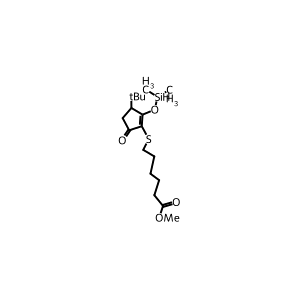 COC(=O)CCCCCSC1=C(O[SiH](C)C)C(C(C)(C)C)CC1=O